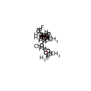 COc1ccc(CN(Cc2ccc(OC)cc2)c2cc(-c3nc4c5c(nc(OC[C@@]67CCCN6C[C@H](F)C7)nc5c3F)N3C[C@H]5CC[C@@H]([C@H]3[C@H](C)O4)N5C(=O)OC(C)(C)C)cc(Cl)c2F)cc1